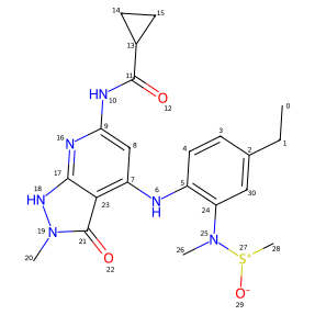 CCc1ccc(Nc2cc(NC(=O)C3CC3)nc3[nH]n(C)c(=O)c23)c(N(C)[S+](C)[O-])c1